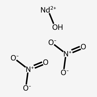 O=[N+]([O-])[O-].O=[N+]([O-])[O-].[OH][Nd+2]